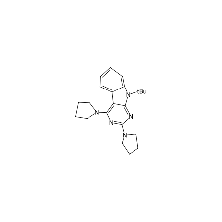 CC(C)(C)n1c2ccccc2c2c(N3CCCC3)nc(N3CCCC3)nc21